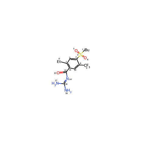 CCc1cc(S(=O)(=O)C(C)CC)c(C(F)(F)F)cc1C(=O)N=C(N)N